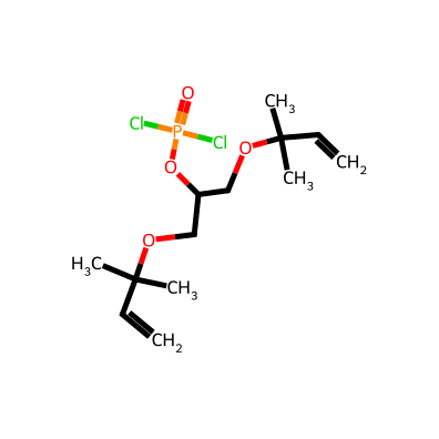 C=CC(C)(C)OCC(COC(C)(C)C=C)OP(=O)(Cl)Cl